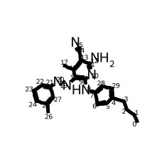 CCCCc1ccc(Nc2nc(N)c(C#N)c(C)c2/N=N/c2cccc(C)c2)cc1